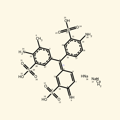 Cc1cc(/C(=C2/C=CC(=N)C(S(=O)(=O)O)=C2)c2ccc(N)c(S(=O)(=O)O)c2)cc(S(=O)(=O)O)c1N.[CaH2].[NaH].[NaH]